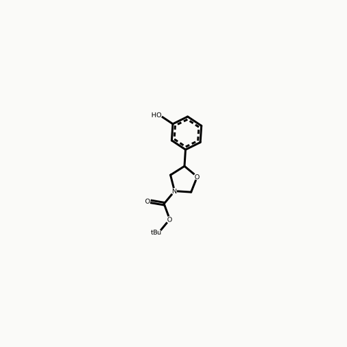 CC(C)(C)OC(=O)N1COC(c2cccc(O)c2)C1